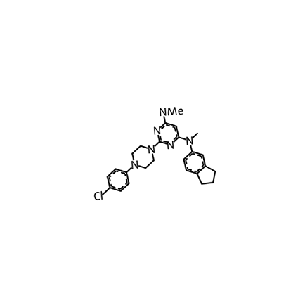 CNc1cc(N(C)c2ccc3c(c2)CCC3)nc(N2CCN(c3ccc(Cl)cc3)CC2)n1